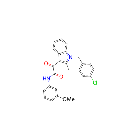 COc1cccc(NC(=O)C(=O)c2c(C)n(Cc3ccc(Cl)cc3)c3ccccc23)c1